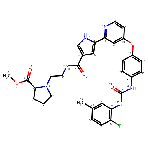 COC(=O)[C@@H]1CCCN1CCNC(=O)c1c[nH]c(-c2cc(Oc3ccc(NC(=O)Nc4cc(C)ccc4F)cc3)ccn2)c1